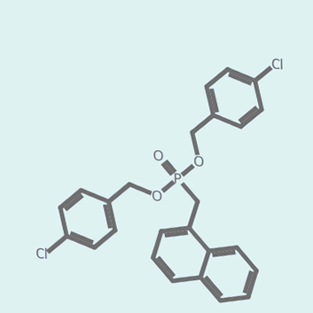 O=P(Cc1cccc2ccccc12)(OCc1ccc(Cl)cc1)OCc1ccc(Cl)cc1